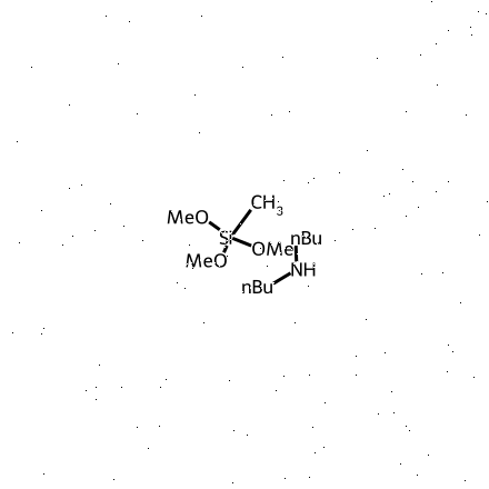 CCCCNCCCC.CO[Si](C)(OC)OC